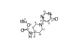 CC1(NC(=O)OC(C)(C)C)CCN(c2cc(Cl)ncn2)CC1